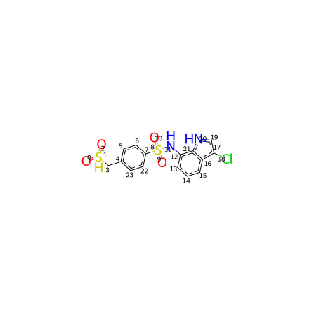 O=[SH](=O)Cc1ccc(S(=O)(=O)Nc2cccc3c(Cl)c[nH]c23)cc1